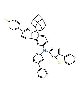 Fc1ccc(-c2ccc3c(c2)C2(c4ccc(N(c5cccc(-c6ccccc6)c5)c5ccc6c(c5)sc5ccccc56)cc4-3)C3CC4CC5CC2C45C3)cc1